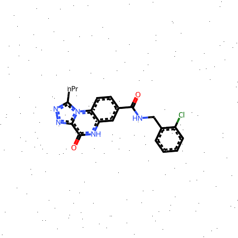 CCCc1nnc2c(=O)[nH]c3cc(C(=O)NCc4ccccc4Cl)ccc3n12